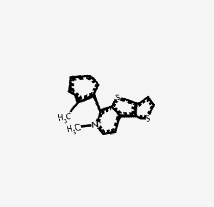 Cc1ccccc1-c1c2sc3ccsc3c2cc[n+]1C